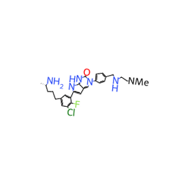 CNCCNCc1ccc(-n2cc3cc(-c4cc(CCC[C@H](C)N)cc(Cl)c4F)[nH]c3nc2=O)cc1